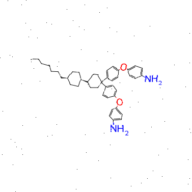 CCCCCCC[C@H]1CC[C@@H](C2CCC(c3ccc(Oc4ccc(N)cc4)cc3)(c3ccc(Oc4ccc(N)cc4)cc3)CC2)CC1